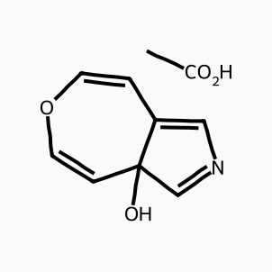 CC(=O)O.OC12C=COC=CC1=CN=C2